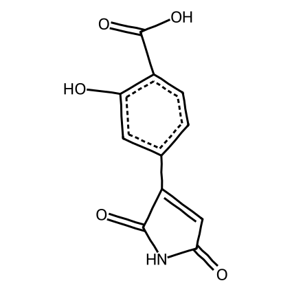 O=C1C=C(c2ccc(C(=O)O)c(O)c2)C(=O)N1